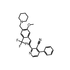 COc1cc(/C=C/c2nccc(-c3ccccc3)c2C#N)c(C(F)(F)P)cc1CN1CCCCC1